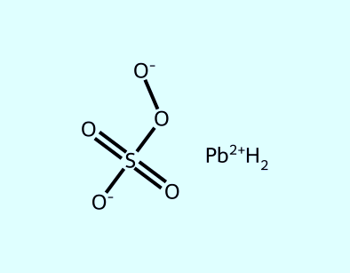 O=S(=O)([O-])O[O-].[PbH2+2]